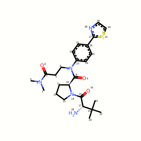 CN(C)C(=O)CCN(C(=O)[C@@H]1CCCN1C(=O)[C@@H](N)C(C)(C)C)c1ccc(-c2nccs2)cc1